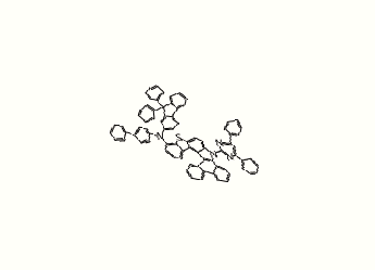 c1ccc(-c2ccc(N(c3ccc4c(c3)C(c3ccccc3)(c3ccccc3)c3ccccc3-4)c3cccc4c3sc3ccc5c(c34)c3c4ccccc4c4ccccc4c3n5-c3nc(-c4ccccc4)cc(-c4ccccc4)n3)cc2)cc1